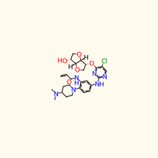 C=CC(=O)Nc1cc(Nc2ncc(Cl)c(O[C@@H]3CO[C@H]4[C@@H]3OC[C@H]4O)n2)ccc1N1CCC(N(C)C)CC1